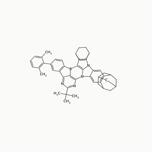 Cc1cccc(C)c1-c1ccc2c(c1)-c1nc(C(C)(C)C)nc3c1B2c1c2c(n4c5cc6c(cc5n-3c14)C1CC3CC(C1)CC6C3)C1CCC2CC1